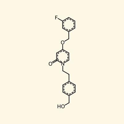 O=c1cc(OCc2cccc(F)c2)ccn1CCc1ccc(CO)cc1